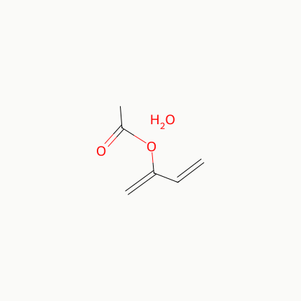 C=CC(=C)OC(C)=O.O